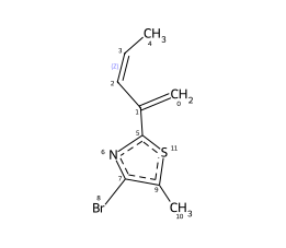 C=C(/C=C\C)c1nc(Br)c(C)s1